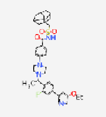 CCOc1cncc(-c2ccc(C(C)N3CCN(c4ccc(C(=O)NS(=O)(=O)CC56CC7CC(CC(C7)C5)C6)cc4)CC3)c(F)c2)c1